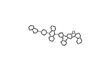 c1ccc2cc(-c3ccc(-c4c5ccccc5c(-c5ccc6c(c5)c5ccccc5c5cc7c(cc65)oc5ccc6ccccc6c57)c5ccccc45)cc3)ccc2c1